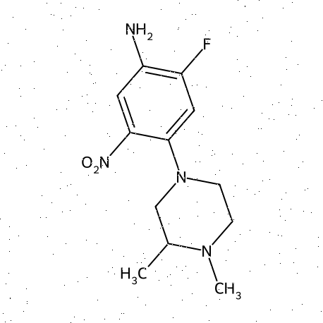 CC1CN(c2cc(F)c(N)cc2[N+](=O)[O-])CCN1C